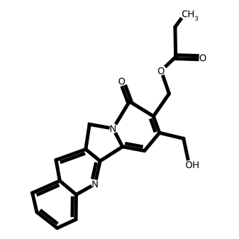 CCC(=O)OCc1c(CO)cc2n(c1=O)Cc1cc3ccccc3nc1-2